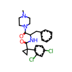 CN1CCN(C(=O)C(Cc2ccccc2)NC(=O)C2(c3ccc(Cl)cc3Cl)CC2)CC1